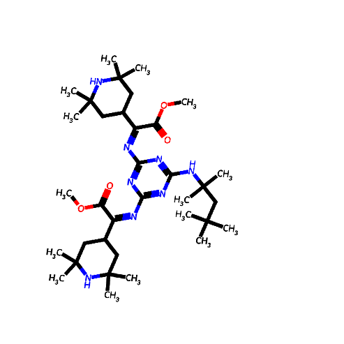 COC(=O)C(=Nc1nc(N=C(C(=O)OC)C2CC(C)(C)NC(C)(C)C2)nc(NC(C)(C)CC(C)(C)C)n1)C1CC(C)(C)NC(C)(C)C1